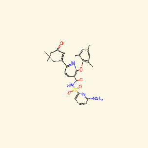 Cc1cc(C)c(Oc2nc(C3=CC(=O)CC(C)(C)C3)ccc2C(=O)NS(=O)(=O)c2cccc(N)n2)c(C)c1